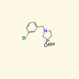 CO[C@@H]1CCN(Cc2cccc(Br)c2)C1